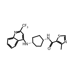 Cc1ncsc1C(=O)N[C@H]1CC[C@@H](Nc2cc(C(F)(F)F)nc3ccccc23)CC1